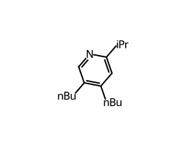 CCCCc1cnc(C(C)C)cc1CCCC